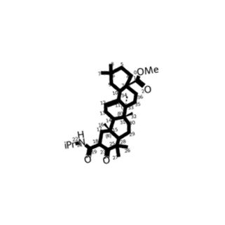 COC(=O)[C@]12CCC(C)(C)CC1C1=CCC3[C@@]4(C)CC(C(=O)NC(C)C)C(=O)C(C)(C)C4CC[C@@]3(C)[C@]1(C)CC2